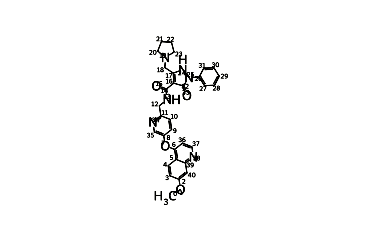 COc1ccc2c(Oc3ccc(CNC(=O)c4c(CN5CCCC5)[nH]n(-c5ccccc5)c4=O)nc3)ccnc2c1